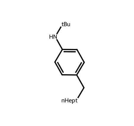 CCCCCCCCc1ccc(NC(C)(C)C)cc1